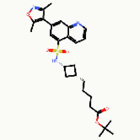 Cc1noc(C)c1-c1cc(S(=O)(=O)N[C@H]2C[C@@H](CCCCC(=O)OC(C)(C)C)C2)c2cccnc2c1